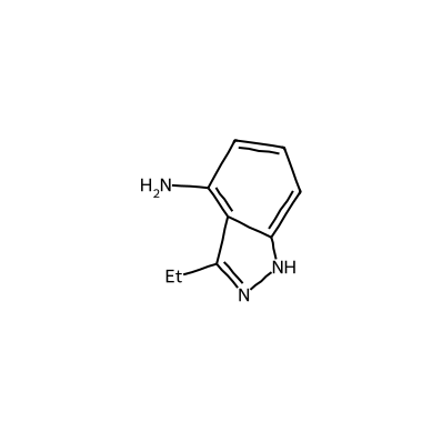 CCc1n[nH]c2cccc(N)c12